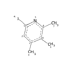 Cc1[c]c(I)nc(C)c1C